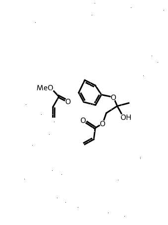 C=CC(=O)OC.C=CC(=O)OCC(C)(O)Oc1ccccc1